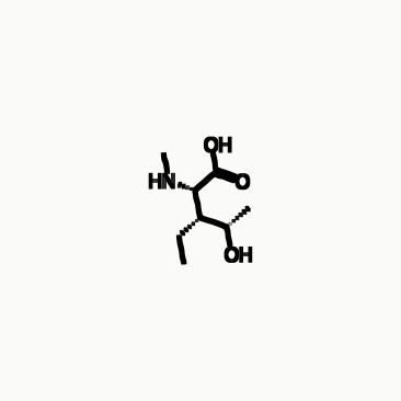 CC[C@@H]([C@H](C)O)[C@H](NC)C(=O)O